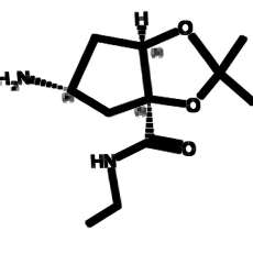 CCNC(=O)[C@]12C[C@H](N)C[C@H]1OC(C)(C)O2